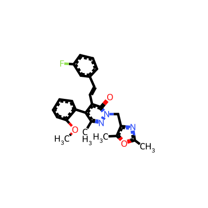 COc1ccccc1-c1c(C)nn(Cc2nc(C)oc2C)c(=O)c1/C=C/c1cccc(F)c1